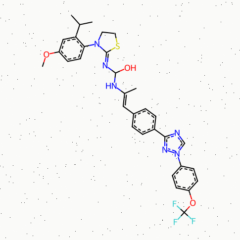 COc1ccc(N2CCS/C2=N\C(O)N/C(C)=C/c2ccc(-c3ncn(-c4ccc(OC(F)(F)F)cc4)n3)cc2)c(C(C)C)c1